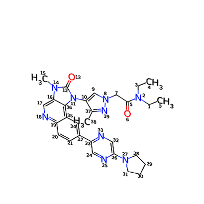 CCN(CC)C(=O)Cn1cc(-n2c(=O)n(C)c3cnc4ccc(-c5cnc(N6CCCC6)cn5)cc4c32)c(C)n1